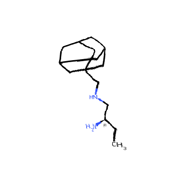 CC[C@@H](N)CNCC12CC3CC(CC(C3)C1)C2